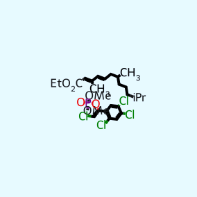 CCOC(=O)/C=C(C)/C=C/CC(C)CCCC(C)C.COP(=O)(OC)O/C(=C\Cl)c1cc(Cl)c(Cl)cc1Cl